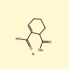 O=C(O)C1=CCCCC1C(=O)O.[K]